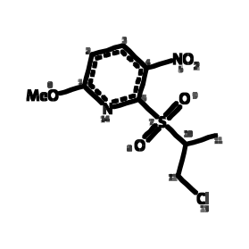 COc1ccc([N+](=O)[O-])c(S(=O)(=O)C(C)CCl)n1